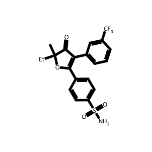 CCC1(C)OC(c2ccc(S(N)(=O)=O)cc2)=C(c2cccc(C(F)(F)F)c2)C1=O